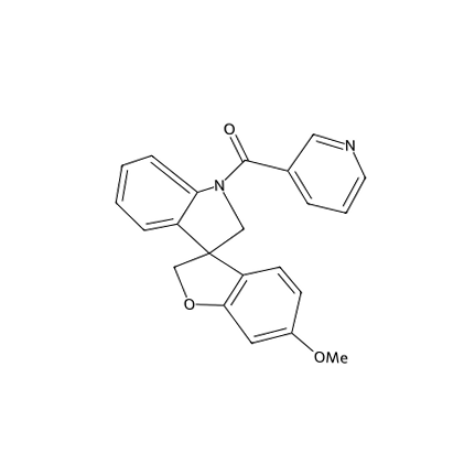 COc1ccc2c(c1)OCC21CN(C(=O)c2cccnc2)c2ccccc21